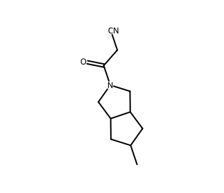 CC1CC2CN(C(=O)CC#N)CC2C1